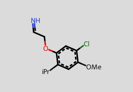 COc1cc(C(C)C)c(OCC=N)cc1Cl